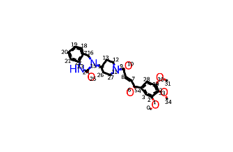 COc1cc(C(=O)C=CC(=O)N2CCC(N3Cc4ccccc4NC3=O)CC2)cc(OC)c1OC